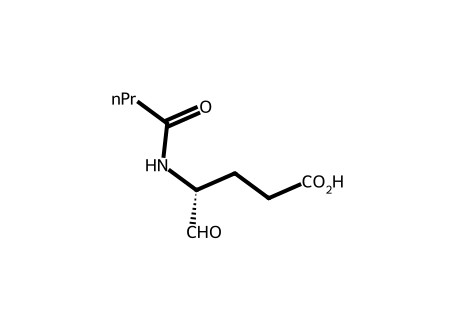 CCCC(=O)N[C@@H](C=O)CCC(=O)O